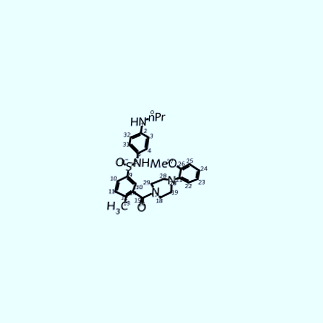 CCCNc1ccc(N[S+]([O-])c2ccc(C)c(C(=O)N3CCN(c4ccccc4OC)CC3)c2)cc1